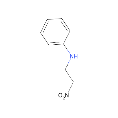 O=[N+]([O-])CCNc1ccccc1